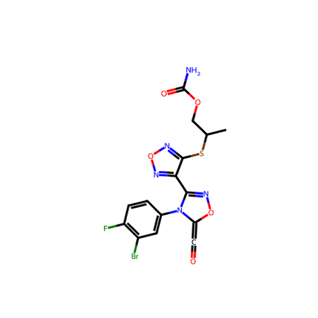 CC(COC(N)=O)Sc1nonc1C1=NOC(=C=O)N1c1ccc(F)c(Br)c1